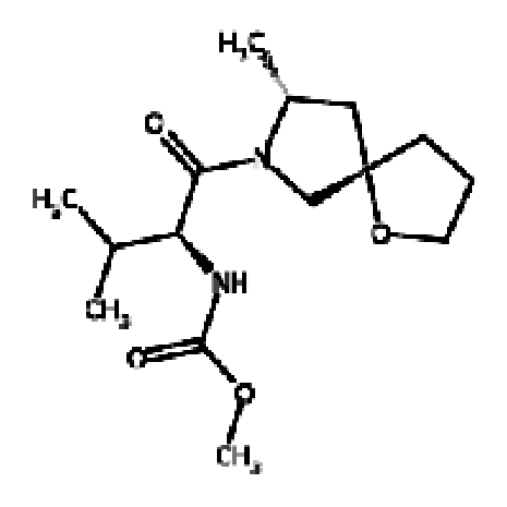 COC(=O)N[C@H](C(=O)N1C[C@]2(CCCO2)C[C@H]1C)C(C)C